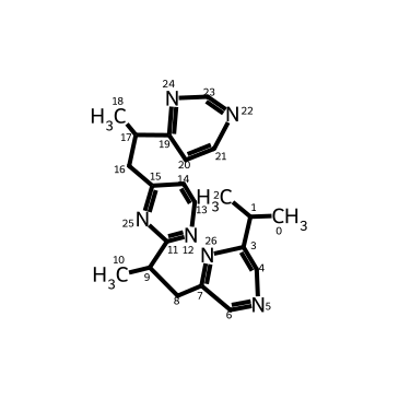 CC(C)c1cncc(CC(C)c2nccc(CC(C)c3ccncn3)n2)n1